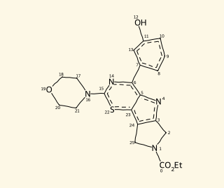 CCOC(=O)N1Cc2nc3c(-c4cccc(O)c4)nc(N4CCOCC4)sc-3c2C1